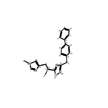 Cn1cnc(C[C@H](I)c2nc(Cc3ccc(-c4ccccc4)cc3)no2)c1